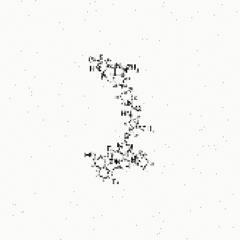 C#Cc1c(F)ccc2cc(O)cc(-c3ncc4c(N5CC6CCC(C5)N6)nc(OC[C@@H]5C[C@@H](NC(=O)N6CCC(c7ccc8c(C9CCC(=O)NC9=O)nn(C)c8c7)CC6)CN5C)nc4c3F)c12